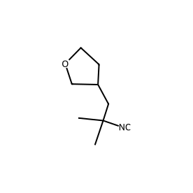 [C-]#[N+]C(C)(C)CC1CCOC1